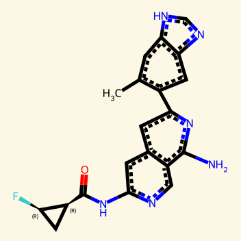 Cc1cc2[nH]cnc2cc1-c1cc2cc(NC(=O)[C@H]3C[C@H]3F)ncc2c(N)n1